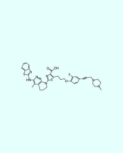 Cc1c(Nc2nc3ccccc3s2)nnc2c1CCCN2c1nc(C(=O)O)c(CCCOc2ccc(C#CCN3CCN(C)CC3)cc2F)s1